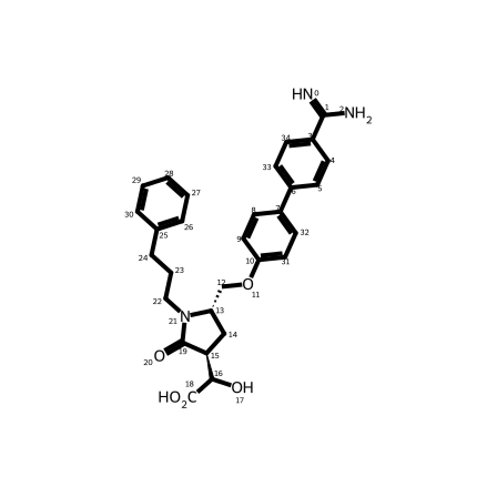 N=C(N)c1ccc(-c2ccc(OC[C@@H]3C[C@@H](C(O)C(=O)O)C(=O)N3CCCc3ccccc3)cc2)cc1